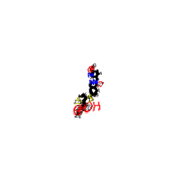 COc1ccc(Cn2ncc3cc(Sc4ccsc4C(O)OC)ccc3c2=O)cn1